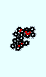 c1ccc(-c2cccc3c2B2c4cccc(-c5ccccc5)c4N(c4cccc([Si](c5ccccc5)(c5ccccc5)c5ccccc5)c4)c4cc(-n5c6ccccc6c6ccccc65)cc(c42)N3c2cccc([Si](c3ccccc3)(c3ccccc3)c3ccccc3)c2)cc1